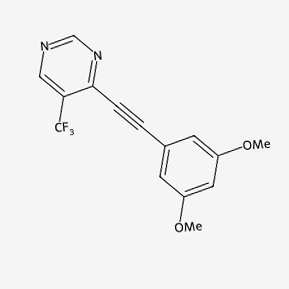 COc1cc(C#Cc2ncncc2C(F)(F)F)cc(OC)c1